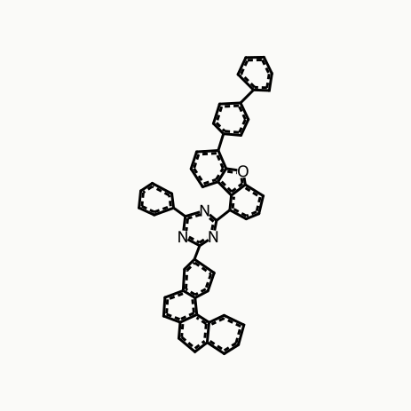 c1ccc(-c2ccc(-c3cccc4c3oc3cccc(-c5nc(-c6ccccc6)nc(-c6ccc7c(ccc8ccc9ccccc9c87)c6)n5)c34)cc2)cc1